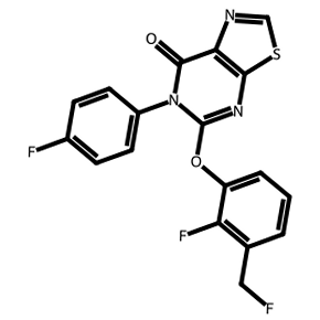 O=c1c2ncsc2nc(Oc2cccc(CF)c2F)n1-c1ccc(F)cc1